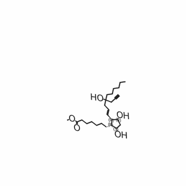 C#CCC(O)(CC=C[C@@H]1[C@@H](CCCCCCC(=O)OC)[C@@H](O)C[C@H]1O)CCCCCC